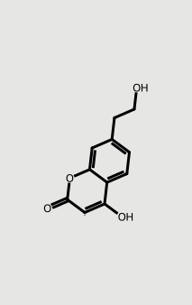 O=c1[c]c(O)c2ccc(CCO)cc2o1